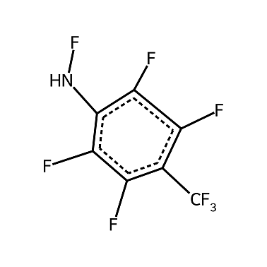 FNc1c(F)c(F)c(C(F)(F)F)c(F)c1F